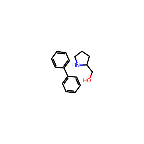 OCC1CCCN1.c1ccc(-c2ccccc2)cc1